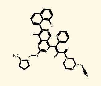 CN1CCC[C@H]1COc1nc(/C(=C(\F)C(=O)N2CCN[C@@H](CC#N)C2)c2ccccn2)c2cnc(-c3cccc4cccc(Cl)c34)c(F)c2n1